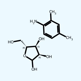 Cc1ccc(N)c(C)c1.OC[C@H]1OC(O)[C@H](O)[C@@H]1O